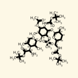 CC(=O)OC1[C@H](NC(=O)OC(C)(C)C)C(O[C@H]2OC(CNC(=O)OC(C)(C)C)CCC2C)C(OS(C)(=O)=O)[C@@H](O[C@H]2OC=C(C)[C@H](C(N)C(=O)OC(C)(C)C)C2C)[C@@H]1C